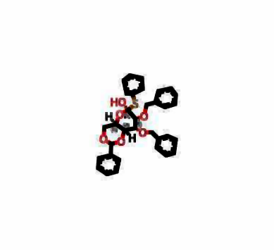 O[C@]1(Sc2ccccc2)O[C@@H]2COC(c3ccccc3)O[C@H]2[C@H](OCc2ccccc2)[C@@H]1OCc1ccccc1